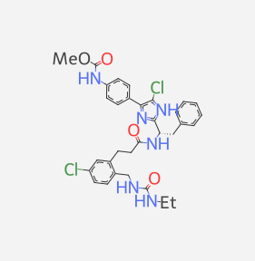 CCNC(=O)NCc1ccc(Cl)cc1CCC(=O)N[C@@H](Cc1ccccc1)c1nc(-c2ccc(NC(=O)OC)cc2)c(Cl)[nH]1